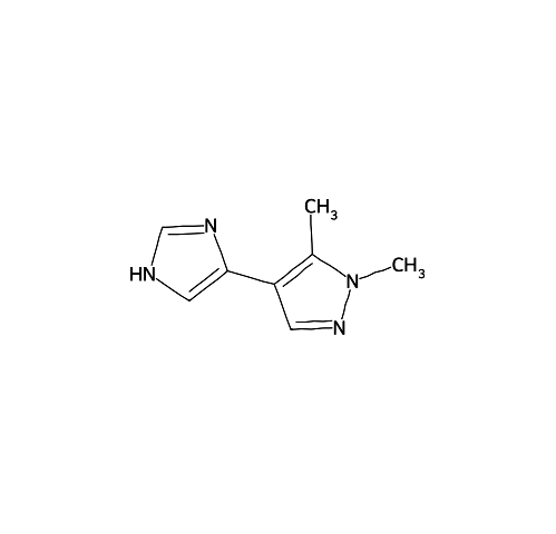 Cc1c(-c2c[nH]cn2)cnn1C